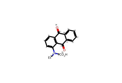 CCN(C(=O)O)c1cccc2c1C(=O)c1ccccc1C2=O